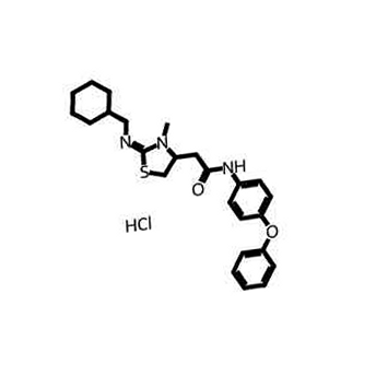 CN1/C(=N\CC2CCCCC2)SCC1CC(=O)Nc1ccc(Oc2ccccc2)cc1.Cl